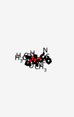 Cc1nc2c(F)c(-c3csc4ccccc34)c(CCC#N)cc2c2c1cc(CN1CCCC1=O)n2[C@H]1[C@@H]2C[C@H]1N(C(=O)OC(C)(C)C)C2